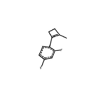 CC1=C(c2ccc(F)cc2F)CC1